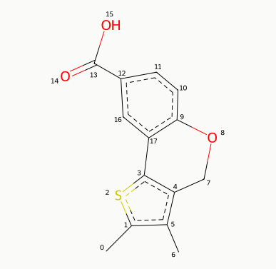 Cc1sc2c(c1C)COc1ccc(C(=O)O)cc1-2